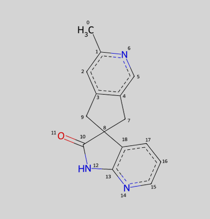 Cc1cc2c(cn1)CC1(C2)C(=O)Nc2ncccc21